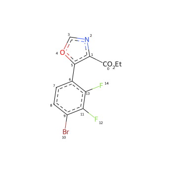 CCOC(=O)c1ncoc1-c1ccc(Br)c(F)c1F